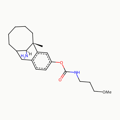 COCCCNC(=O)Oc1ccc2c(c1)[C@@]1(C)CCCCCC(C2)[C@@H]1N